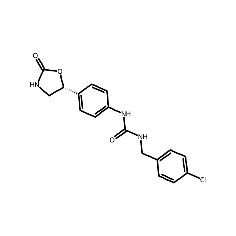 O=C(NCc1ccc(Cl)cc1)Nc1ccc([C@@H]2CNC(=O)O2)cc1